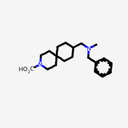 CN(Cc1ccccc1)CC1CCC2(CC1)CCN(C(=O)O)CC2